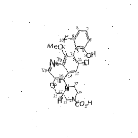 COc1c(-c2c(O)cccc2F)c(Cl)cc2c3c(cnc12)OC[C@H]1CN(C(=O)O)CCN31